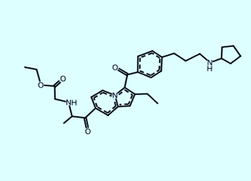 CCOC(=O)CNC(C)C(=O)c1ccn2c(C(=O)c3ccc(CCCNC4CCCC4)cc3)c(CC)cc2c1